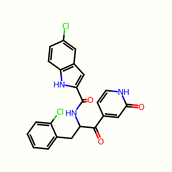 O=C(NC(Cc1ccccc1Cl)C(=O)c1cc[nH]c(=O)c1)c1cc2cc(Cl)ccc2[nH]1